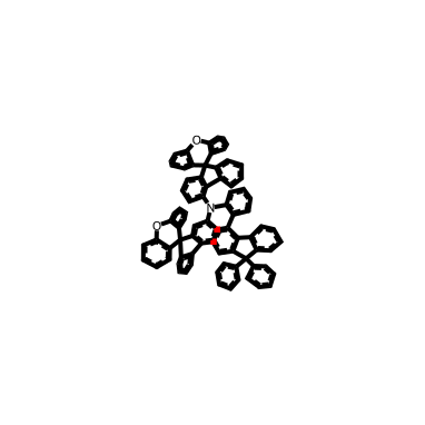 c1ccc(C2(c3ccccc3)c3ccccc3-c3c(-c4ccccc4N(c4ccc5c(c4)C4(c6ccccc6Oc6ccccc64)c4ccccc4-5)c4cccc5c4-c4ccccc4C54c5ccccc5Oc5ccccc54)cccc32)cc1